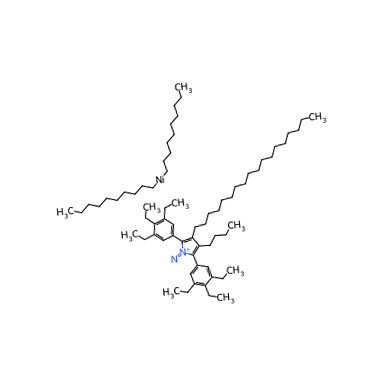 CCCCCCCCCCCCCCCCCCC1=C(c2cc(CC)c(CC)c(CC)c2)[N+](=[N-])C(c2cc(CC)c(CC)c(CC)c2)=C1CCCC.CCCCCCCCC[CH2][Ni][CH2]CCCCCCCCC